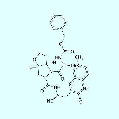 Cc1ccc2[nH]c(=O)c(C[C@@H](C#N)NC(=O)C3C[C@H]4OCC[C@H]4N3C(=O)[C@@H](NC(=O)OCc3ccccc3)C(C)(C)C)cc2c1